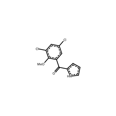 COc1c(Cl)cc(Cl)cc1C(=O)c1ccc[nH]1